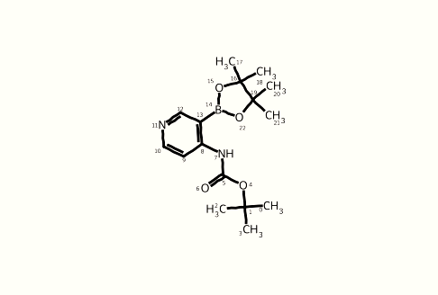 CC(C)(C)OC(=O)Nc1ccncc1B1OC(C)(C)C(C)(C)O1